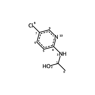 CC(O)Nc1ccc(Cl)cn1